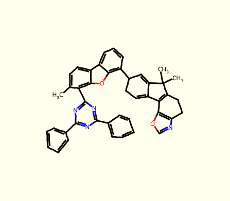 Cc1ccc2c(oc3c(C4C=C5C(=CC4)C4=C(CCc6ncoc64)C5(C)C)cccc32)c1-c1nc(-c2ccccc2)nc(-c2ccccc2)n1